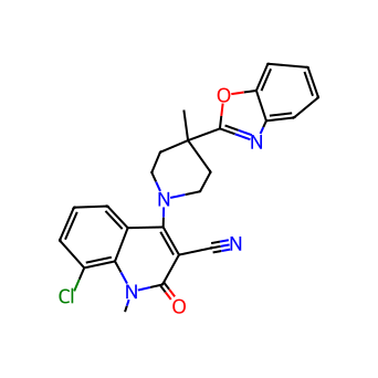 Cn1c(=O)c(C#N)c(N2CCC(C)(c3nc4ccccc4o3)CC2)c2cccc(Cl)c21